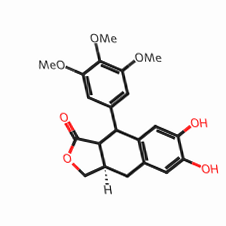 COc1cc(C2c3cc(O)c(O)cc3C[C@H]3COC(=O)C23)cc(OC)c1OC